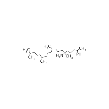 CC(=P)CCCC(C)(N)CCC[C@H](C)CCC[C@H](C)CCCC(C)C